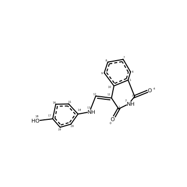 O=C1NC(=O)c2ccccc2C1=CNc1ccc(O)cc1